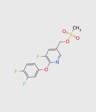 CS(=O)(=O)OCc1cnc(Oc2ccc(F)c(F)c2)c(F)c1